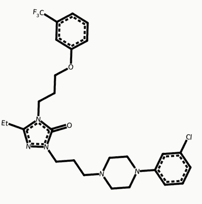 CCc1nn(CCCN2CCN(c3cccc(Cl)c3)CC2)c(=O)n1CCCOc1cccc(C(F)(F)F)c1